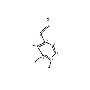 [CH2]/C=C/c1ccc(F)c(C)c1